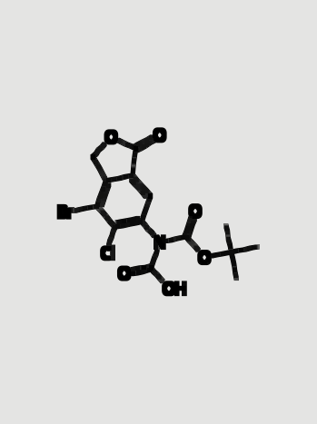 CC(C)(C)OC(=O)N(C(=O)O)c1cc2c(c(Br)c1Cl)COC2=O